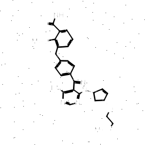 COCCO[C@H]1C=C[C@H](n2nc(-c3ccc(Cc4cccc(C(N)=O)c4OC)cc3)c3c(N)ncnc32)C1